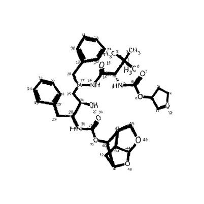 CC(C)(C)[C@H](NC(=O)OC1CCOC1)C(=O)NN(Cc1ccccc1)C[C@@H](O)[C@H](Cc1ccccc1)NC(=O)OC1C2CC3C(OCC31)O2